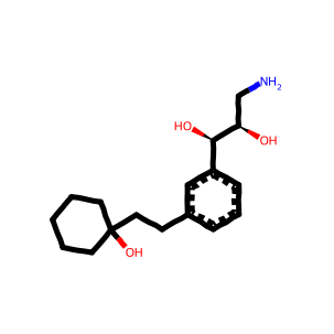 NC[C@@H](O)[C@H](O)c1cccc(CCC2(O)CCCCC2)c1